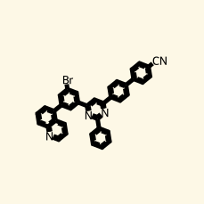 N#Cc1ccc(-c2ccc(-c3cc(-c4cc(Br)cc(-c5cccc6ncccc56)c4)nc(-c4ccccc4)n3)cc2)cc1